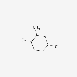 CC1CC(Cl)CCC1O